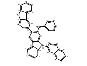 c1ccc(Nc2cc3c(cc2-c2ccc4oc5ccccc5c4c2)c2ccccc2n3-c2ccc3ccccc3c2)cc1